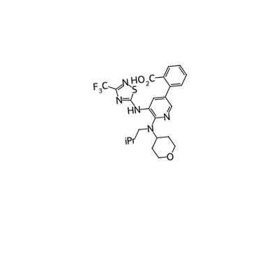 CC(C)CN(c1ncc(-c2ccccc2C(=O)O)cc1Nc1nc(C(F)(F)F)ns1)C1CCOCC1